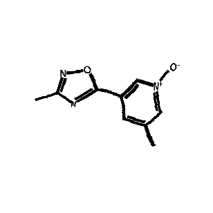 Cc1cc(-c2nc(C)no2)c[n+]([O-])c1